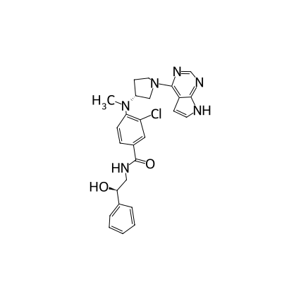 CN(c1ccc(C(=O)NC[C@H](O)c2ccccc2)cc1Cl)[C@@H]1CCN(c2ncnc3[nH]ccc23)C1